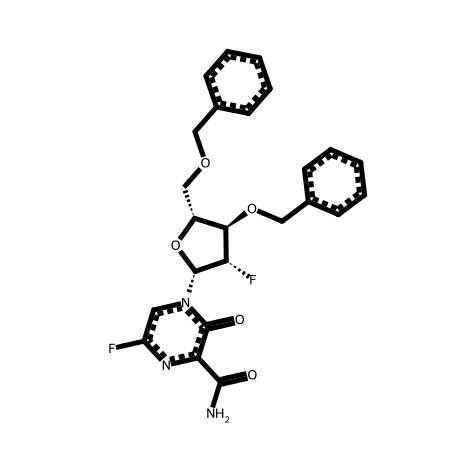 NC(=O)c1nc(F)cn([C@@H]2O[C@H](COCc3ccccc3)[C@@H](OCc3ccccc3)[C@@H]2F)c1=O